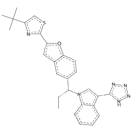 CCC(c1ccc2oc(-c3nc(C(C)(C)C)cs3)cc2c1)n1cc(-c2nnn[nH]2)c2ccccc21